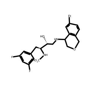 CCc1ccc2c(c1)C(NC[C@@H](O)[C@H](Cc1cc(F)cc(F)c1)NC(=O)O)COC2